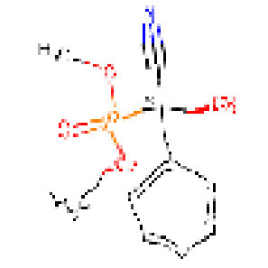 COP(=O)(OC)[C@](O)(C#N)c1ccccc1